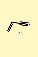 C=CC#N.[Ge]